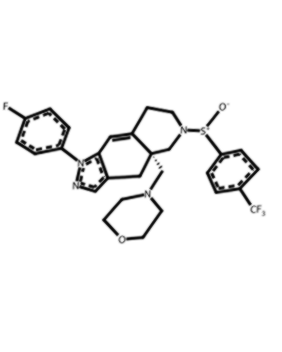 [O-][S+](c1ccc(C(F)(F)F)cc1)N1CCC2=Cc3c(cnn3-c3ccc(F)cc3)C[C@]2(CN2CCOCC2)C1